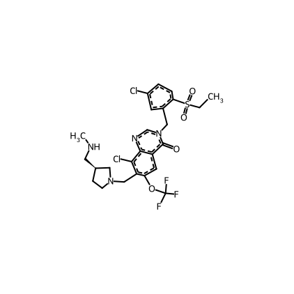 CCS(=O)(=O)c1ccc(Cl)cc1Cn1cnc2c(Cl)c(CN3CC[C@@H](CNC)C3)c(OC(F)(F)F)cc2c1=O